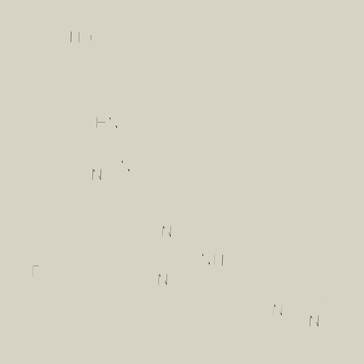 CCCCNc1cccc2c(-c3ccnc(NCCCn4ccnc4)n3)c(-c3ccc(F)cc3)nn12